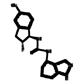 CC(C)(C)c1ccc2c(c1)C[C@@H](F)[C@@H]2NC(=O)Nc1cccc2[nH]ncc12